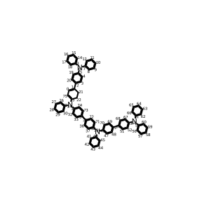 C1=C(c2ccc(N(c3ccccc3)c3ccccc3)cc2)CCC(N(c2ccccc2)c2ccc(-c3ccc(N(c4ccccc4)c4ccc(-c5ccc(N(c6ccccc6)c6ccccc6)cc5)cc4)cc3)cc2)=C1